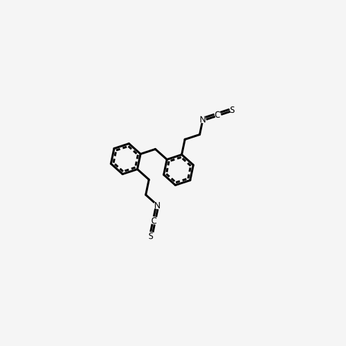 S=C=NCCc1ccccc1Cc1ccccc1CCN=C=S